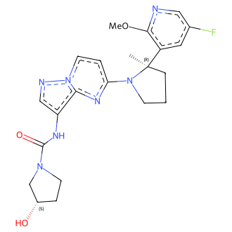 COc1ncc(F)cc1[C@@]1(C)CCCN1c1ccn2ncc(NC(=O)N3CC[C@H](O)C3)c2n1